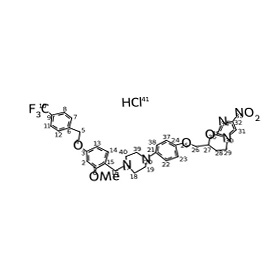 COc1cc(OCc2ccc(C(F)(F)F)cc2)ccc1CN1CCN(c2ccc(OCC3CCn4cc([N+](=O)[O-])nc4O3)cc2)CC1.Cl